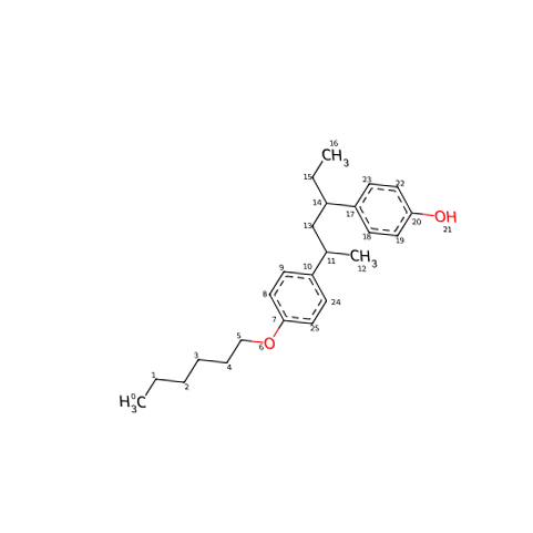 CCCCCCOc1ccc(C(C)CC(CC)c2ccc(O)cc2)cc1